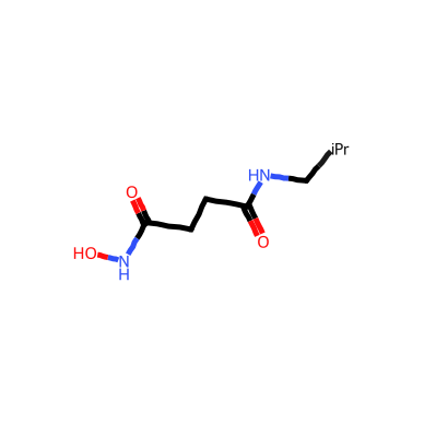 CC(C)CNC(=O)CCC(=O)NO